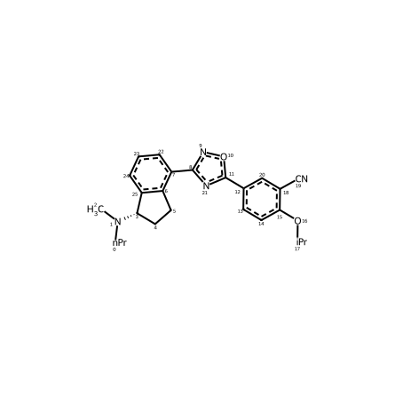 CCCN(C)[C@H]1CCc2c(-c3noc(-c4ccc(OC(C)C)c(C#N)c4)n3)cccc21